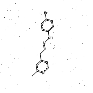 Cc1cc(CC=NNc2ccc(Br)cc2)ccn1